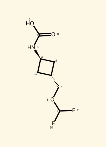 O=C(O)N[C@H]1C[C@H](COC(F)F)C1